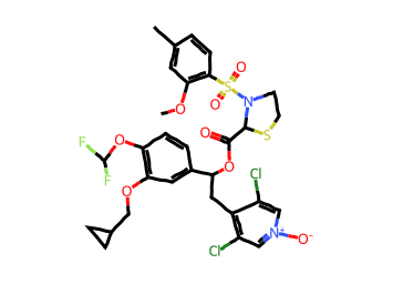 COc1cc(C)ccc1S(=O)(=O)N1CCSC1C(=O)OC(Cc1c(Cl)c[n+]([O-])cc1Cl)c1ccc(OC(F)F)c(OCC2CC2)c1